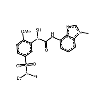 CCN(CC)S(=O)(=O)c1ccc(OC)c(N(S)C(=O)Nc2cccc3c2ncn3C)c1